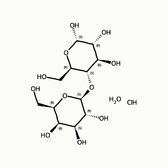 Cl.O.OC[C@H]1O[C@@H](O[C@H]2[C@H](O)[C@@H](O)[C@@H](O)O[C@@H]2CO)[C@H](O)[C@@H](O)[C@H]1O